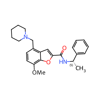 COc1ccc(CN2CCCCC2)c2cc(C(=O)N[C@@H](C)c3ccccc3)oc12